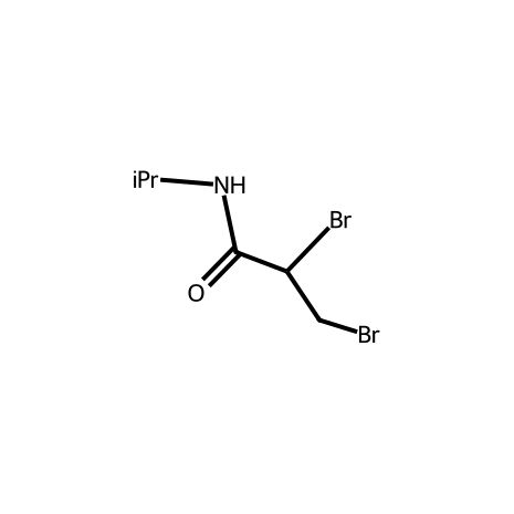 CC(C)NC(=O)C(Br)CBr